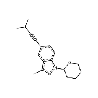 CC(C)C#Cc1ccc2c(c1)c(F)nn2C1CCCCO1